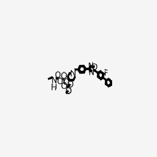 CCNC(=O)OC(=O)OC1(OC(=O)OC)CCN(Cc2ccc(-c3noc(-c4ccc(-c5ccccc5)c(F)c4)n3)cc2)CC1